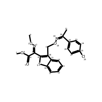 CON=C(C(=O)OC)c1sc2ccccc2c1CON=C(C)c1ccc(Cl)cc1